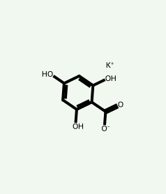 O=C([O-])c1c(O)cc(O)cc1O.[K+]